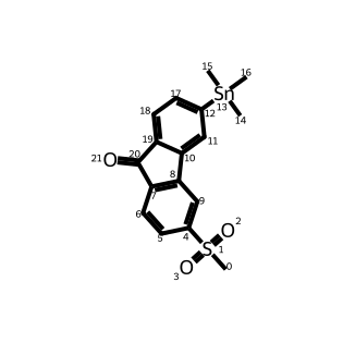 CS(=O)(=O)c1ccc2c(c1)-c1c[c]([Sn]([CH3])([CH3])[CH3])ccc1C2=O